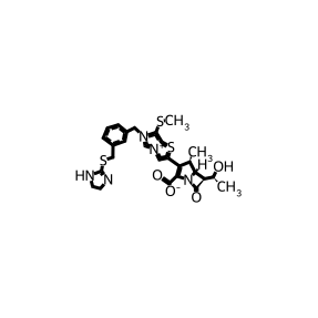 CSc1c2sc(C3=C(C(=O)[O-])N4C(=O)[C@H]([C@@H](C)O)[C@H]4[C@H]3C)c[n+]2cn1Cc1cccc(CSC2=NCCN2)c1